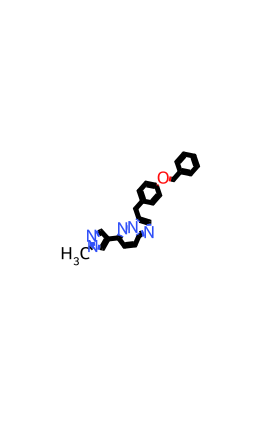 Cn1cc(-c2ccc3ncc(Cc4ccc(OCc5ccccc5)cc4)n3n2)cn1